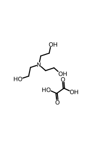 O=C(O)C(=O)O.OCCN(CCO)CCO